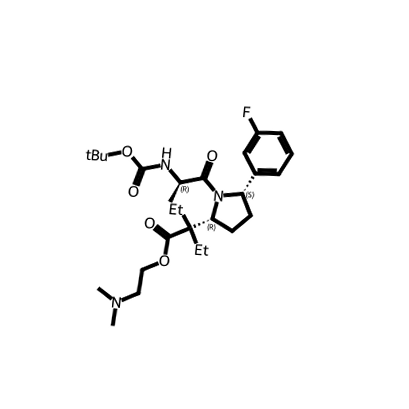 CCC(CC)(C(=O)OCCN(C)C)[C@H]1CC[C@@H](c2cccc(F)c2)N1C(=O)[C@@H](C)NC(=O)OC(C)(C)C